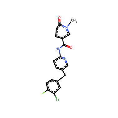 Cn1cc(C(=O)Nc2ccc(Cc3ccc(F)c(Cl)c3)cn2)ccc1=O